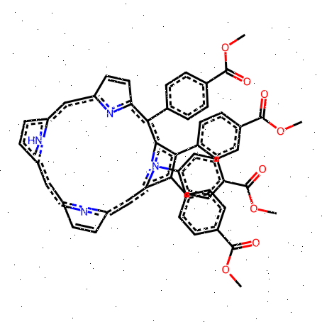 COC(=O)c1ccc(-c2c(-c3ccc(C(=O)OC)cc3)c3c(-c4ccc(C(=O)OC)cc4)c4nc(cc5ccc(cc6nc(cc2n3-c2ccc(C(=O)OC)cc2)C=C6)[nH]5)C=C4)cc1